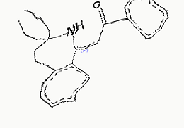 CCC1(CC)Cc2ccccc2/C(=C/C(=O)c2ccccc2)N1